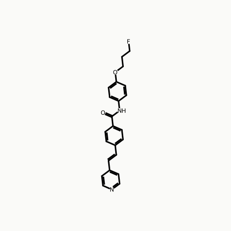 O=C(Nc1ccc(OCCCF)cc1)c1ccc(/C=C/c2ccncc2)cc1